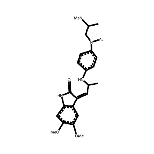 CNC(C)CN(C(C)=O)c1ccc(NC(C)C=C2C(=O)Nc3cc(OC)c(OC)cc32)cc1